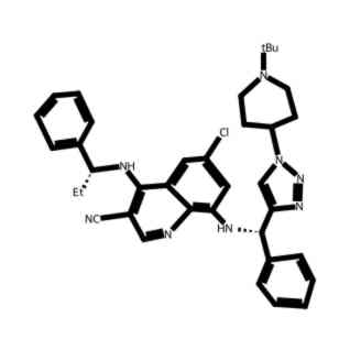 CC[C@@H](Nc1c(C#N)cnc2c(N[C@@H](c3ccccc3)c3cn(C4CCN(C(C)(C)C)CC4)nn3)cc(Cl)cc12)c1ccccc1